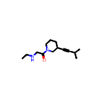 CCNCC(=O)N1CCCC(C#CC(C)C)C1